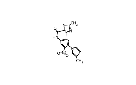 Cc1ccn(-c2cc3c(cc2[N+](=O)[O-])[nH]c(=O)c2nc(C)nn23)c1